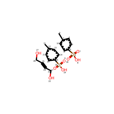 Cc1ccc(S(=O)(=O)O)cc1.Cc1ccc(S(=O)(=O)O)cc1.OCC#CCO